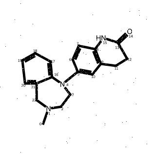 CN1CCN(c2ccc3c(c2)CCC(=O)N3)c2ccccc2C1